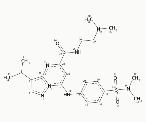 CC(C)c1cnn2c(Nc3ccc(S(=O)(=O)N(C)C)cc3)cc(C(=O)NCCN(C)C)nc12